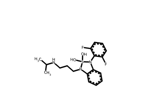 CC(C)NCCCN1c2ccccc2N(c2c(F)cccc2F)S1(O)O